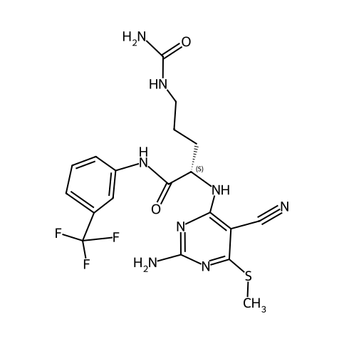 CSc1nc(N)nc(N[C@@H](CCCNC(N)=O)C(=O)Nc2cccc(C(F)(F)F)c2)c1C#N